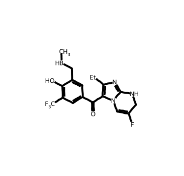 CBCc1cc(C(=O)c2c(CC)nc3n2C=C(F)CN3)cc(C(F)(F)F)c1O